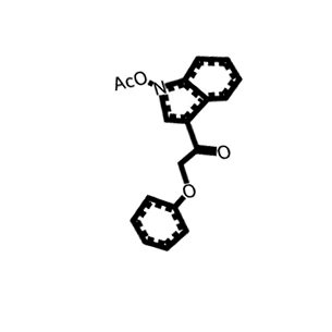 CC(=O)On1cc(C(=O)COc2ccccc2)c2ccccc21